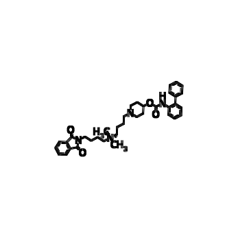 C[N+](C)(CCCCN1CCC(OC(=O)Nc2ccccc2-c2ccccc2)CC1)CCCCN1C(=O)c2ccccc2C1=O